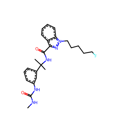 CNC(=O)Nc1cccc(C(C)(C)NC(=O)c2nn(CCCCCF)c3ccccc23)c1